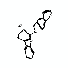 Cl.c1ccc2c3c([nH]c2c1)C(NCc1ccc2occc2c1)CCC3